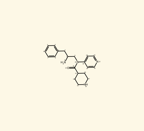 NC(Cc1ccccc1)CN(C(=O)C1CCNCC1)c1ccncc1